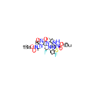 Cc1ccnc(C(C)C)c1-n1c(=O)c2c(c3cc(F)c(-c4ccc(F)c5sc(NC(=O)OC(C)(C)C)nc45)nc31)N1C[C@@H](C)N(C(=O)OC(C)(C)C)C[C@@H]1C(=O)N2C